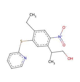 CCc1cc([N+](=O)[O-])c(C(C)CO)cc1Sc1ccccn1